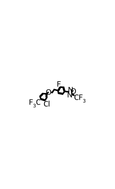 Fc1cc(-c2noc(C(F)(F)F)n2)ccc1CCOc1ccc(C(F)(F)F)c(Cl)c1